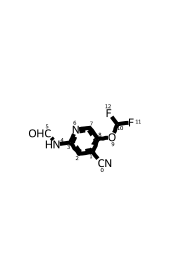 N#Cc1cc(NC=O)ncc1OC(F)F